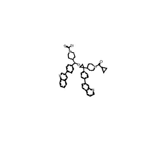 CCC(=O)N1CCC(C(CC)c2ccc(-c3cnc4ccccc4c3)cc2)CC1.O=C(C1CC1)N1CCC(C2(c3ccc(-c4ccc5cccnc5c4)cc3)CC2)CC1